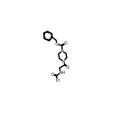 CCC(=O)NCC(=O)N1CCN(C(=O)OCc2ccccc2)CC1